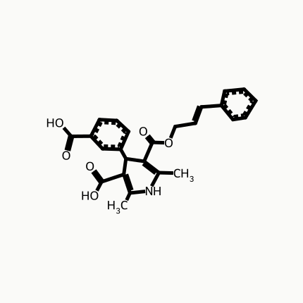 CC1=C(C(=O)O)C(c2cccc(C(=O)O)c2)C(C(=O)OC/C=C/c2ccccc2)=C(C)N1